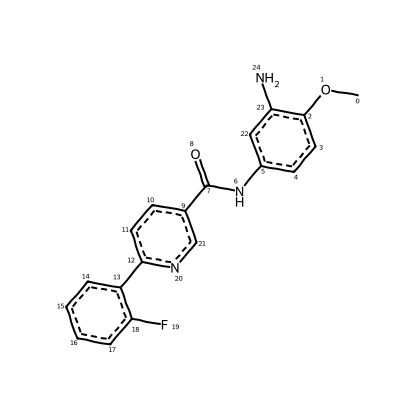 COc1ccc(NC(=O)c2ccc(-c3ccccc3F)nc2)cc1N